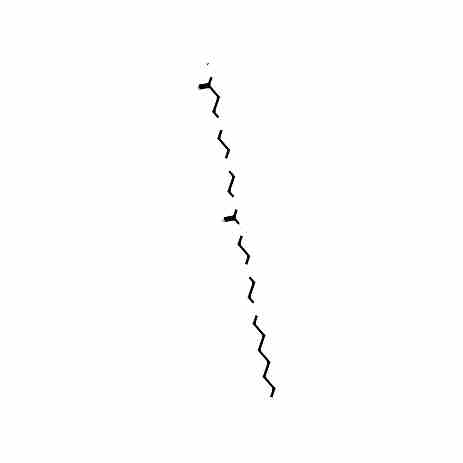 CC(C)(C)OC(=O)CCOCCOCCOC(=O)NCCOCCOCCCCCCCl